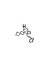 CC1(C(=O)/C=C/Cl)CC2(CCC2)C1